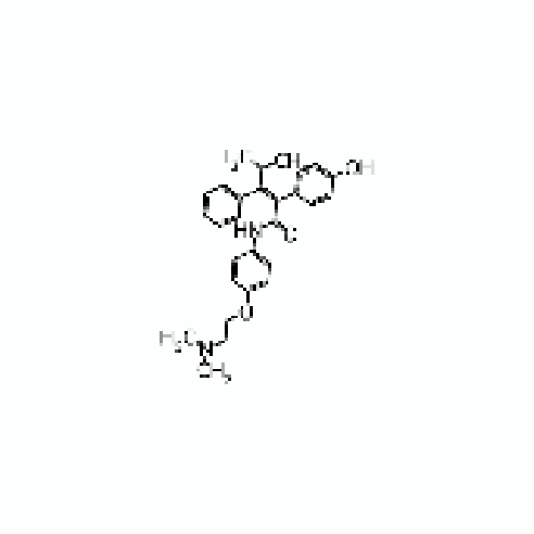 CC(C)C(=C(C(=O)Nc1ccc(OCCN(C)C)cc1)c1ccc(O)cc1)c1ccccc1